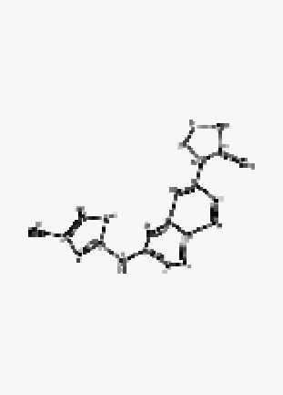 CC(C)(C)c1cc(Nc2ncc3ccc(N4CCOC4=O)cc3n2)sn1